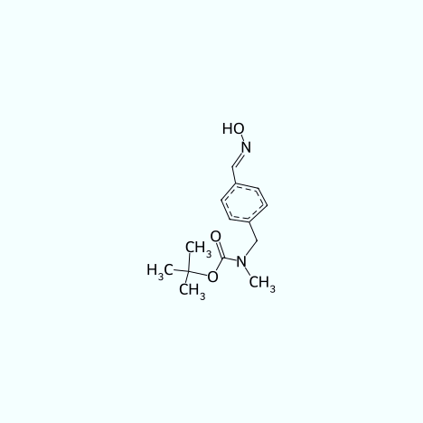 CN(Cc1ccc(/C=N/O)cc1)C(=O)OC(C)(C)C